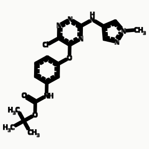 Cn1cc(Nc2nnc(Cl)c(Oc3cccc(NC(=O)OC(C)(C)C)c3)n2)cn1